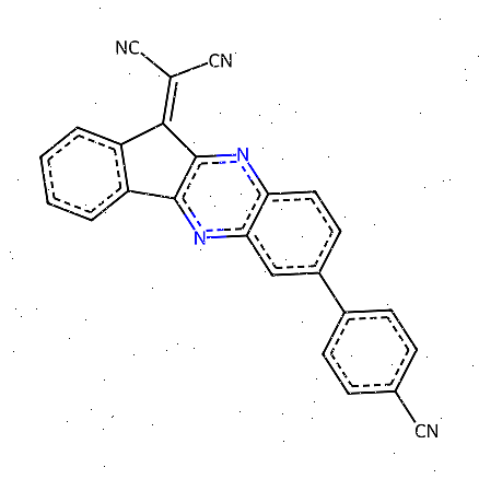 N#CC(C#N)=C1c2ccccc2-c2nc3cc(-c4ccc(C#N)cc4)ccc3nc21